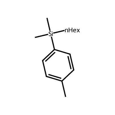 CCCCCC[Si](C)(C)c1ccc(C)cc1